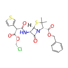 CC1(C)S[C@@H]2[C@H](NC(=O)C(C(=O)OCCl)c3ccsc3)C(=O)N2[C@H]1C(=O)OCc1ccccc1